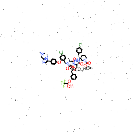 C[C@@H](C(=O)N1[C@H](C(=O)N[C@@]2(Cc3ccc(Cl)cc3)CCCN(C(=O)OC(C)(C)C)C2)COC1(C)C)N(Cc1ccc(Cl)cc1Oc1ccc(-c2cnc(CN(C)C)n2C)cc1)C(=O)O[C@@H](Cc1ccccc1)C(=O)O.O=C(O)C(F)(F)F